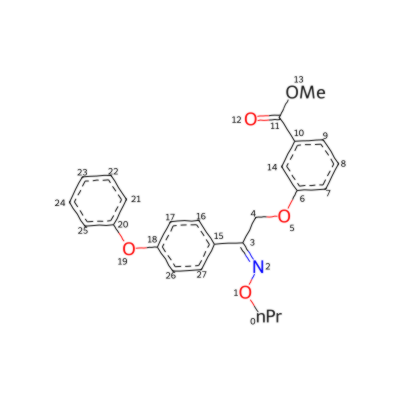 CCCON=C(COc1cccc(C(=O)OC)c1)c1ccc(Oc2ccccc2)cc1